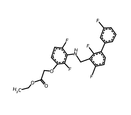 CCOC(=O)COc1ccc(F)c(NCc2c(F)ccc(-c3cccc(F)c3)c2F)c1F